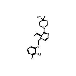 C/C=C1/C(N2CCC(C)(C(C)C)CC2)=NC=CN1CSc1cccc(Cl)c1Cl